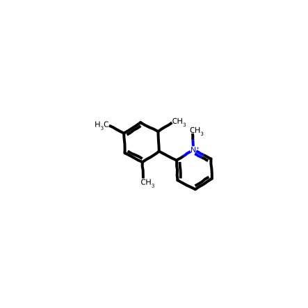 CC1=CC(C)C(c2cccc[n+]2C)C(C)=C1